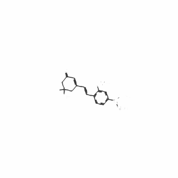 CCCCN(CCCC)c1ccc(C=CC2=CC(=O)CC(C)(C)C2)c(OC)c1